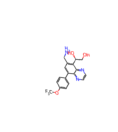 NCc1cc(-c2ccc(OC(F)(F)F)cc2)c2nccnc2c1[C@@H](O)CO